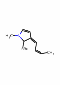 C/C=C\C=C1\C=CN(C)C1CCCC